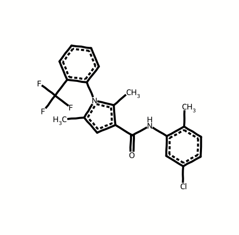 Cc1ccc(Cl)cc1NC(=O)c1cc(C)n(-c2ccccc2C(F)(F)F)c1C